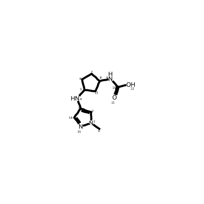 Cn1cc(NC2CCC(NC(=O)O)C2)cn1